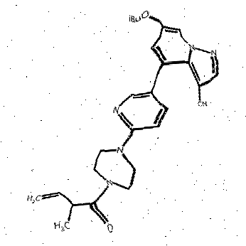 C=CC(C)C(=O)N1CCN(c2ccc(-c3cc(OCC(C)C)cn4ncc(C#N)c34)cn2)CC1